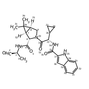 C[C@@H](C=O)NC(=O)[C@@H]1[C@@H]2[C@H](CN1C(=O)[C@@H](NC(=O)c1cc3ccccc3[nH]1)C1CC1)C2(C)C